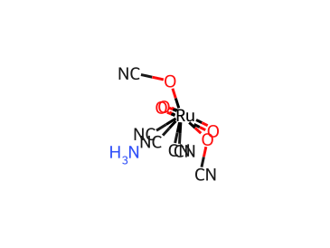 N.N#C[O][Ru](=[O])(=[O])(=[O])([C]#N)([C]#N)([C]#N)([C]#N)[O]C#N